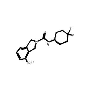 O=C(O)c1cccc2c1CN(C(=O)NC1CCC(F)(F)CC1)C2